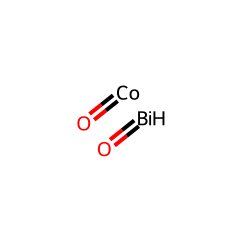 [O]=[BiH].[O]=[Co]